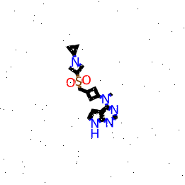 CN(c1ncnc2[nH]ccc12)C1CC(CS(=O)(=O)C2CN(C3CC3)C2)C1